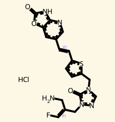 Cl.NC/C(=C\F)Cn1ncn(Cc2ccc(/C=C/c3cnc4[nH]c(=O)oc4c3)s2)c1=O